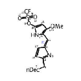 CCCCCCCCCCCC1=N/C(=C/c2[nH]c(OS(=O)(=O)C(F)(F)F)cc2OC)C=C1